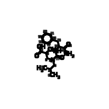 CC(C)CN(CC(O)C(=O)O)C(=O)NC(Cc1ccccc1)C(N)=O